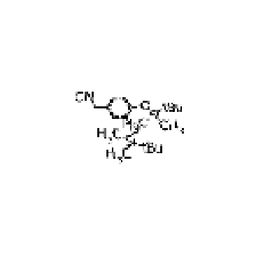 [C-]#[N+]Cc1ccc(O[Si](C)(C)C(C)(C)C)c(O[Si](C)(C)C(C)(C)C)c1